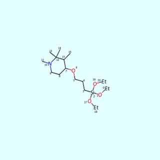 CCO[Si](CCCOC1CCN(C)C(C)(C)C1C)(OCC)OCC